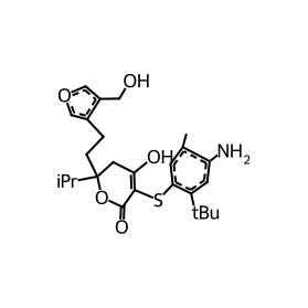 Cc1cc(SC2=C(O)CC(CCc3cocc3CO)(C(C)C)OC2=O)c(C(C)(C)C)cc1N